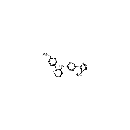 COc1ccc(-c2ncccc2Nc2ccc(-c3nncn3C)cc2)cc1